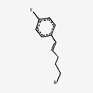 Fc1ccc(C=CCCCBr)cc1